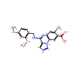 COc1ccc(CNc2nc3cc(C)c(C(=O)O)cc3n3cncc23)c(OC)c1